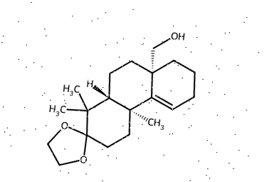 CC1(C)[C@@H]2CC[C@@]3(CO)CCCC=C3[C@@]2(C)CCC12OCCO2